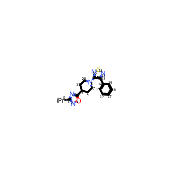 CC(C)c1noc(C2CCN(c3nsnc3C3=CC=C=C=C3)CC2)n1